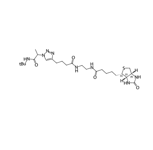 CC(C(=O)NC(C)(C)C)n1cc(CCCC(=O)NCCNC(=O)CCCC[C@@H]2SC[C@@H]3NC(=O)N[C@@H]32)nn1